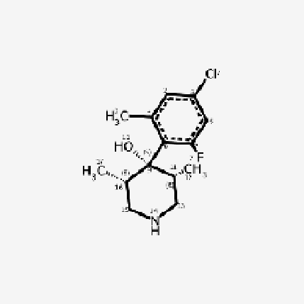 Cc1cc(Cl)cc(F)c1[C@@]1(O)[C@H](C)CNC[C@@H]1C